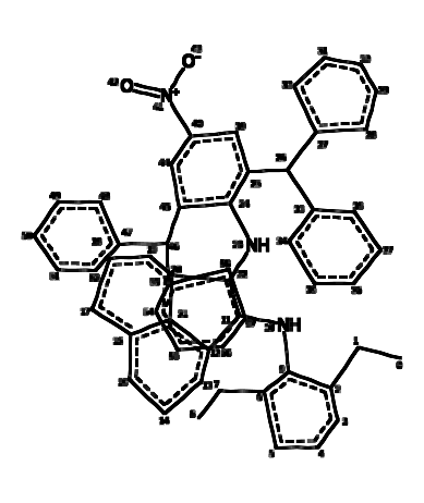 CCc1cccc(CC)c1NC1c2cccc3cccc(c23)C1Nc1c(C(c2ccccc2)c2ccccc2)cc([N+](=O)[O-])cc1C(c1ccccc1)c1ccccc1